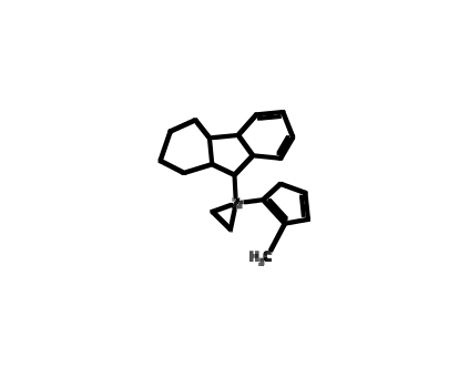 CC1=[C]([Zr]2([CH]3C4C=CC=CC4C4CCCCC43)[CH2][CH2]2)CC=C1